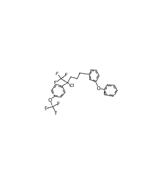 FC(F)(F)Oc1ccc(C(Cl)(CCCc2cccc(Oc3ccccc3)c2)C(F)(F)F)cc1